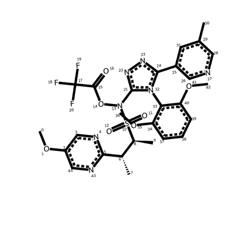 COc1cnc([C@@H](C)[C@H](C)S(=O)(=O)N(OC(=O)C(F)(F)F)c2nnc(-c3cncc(C)c3)n2-c2c(OC)cccc2OC)nc1